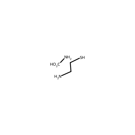 NC(=O)O.NCCS